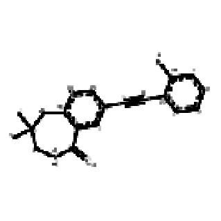 CC1(C)CNC(=O)c2cc(C#Cc3ccccc3F)cnc2C1